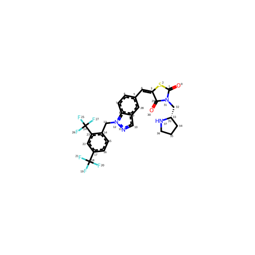 O=C1SC(=Cc2ccc3c(cnn3Cc3ccc(C(F)(F)F)cc3C(F)(F)F)c2)C(=O)N1C[C@@H]1CCCN1